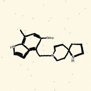 COc1cc(C)c2[nH]ccc2c1CN1CCC2(CCCN2)CC1